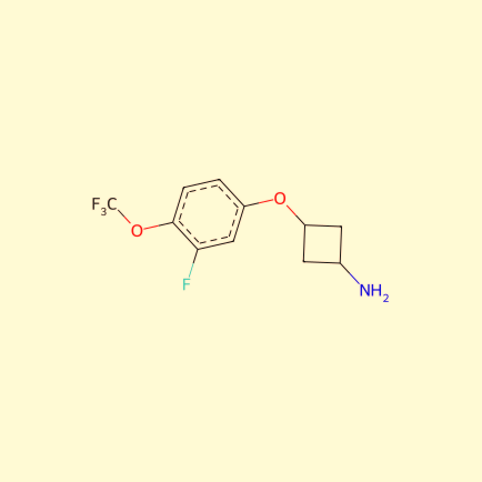 NC1CC(Oc2ccc(OC(F)(F)F)c(F)c2)C1